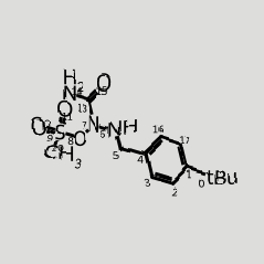 CC(C)(C)c1ccc(CNN(OS(C)(=O)=O)C(N)=O)cc1